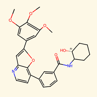 COc1cc(-c2cc3nccc(-c4cccc(C(=O)NC5CCCC[C@H]5O)c4)c3o2)cc(OC)c1OC